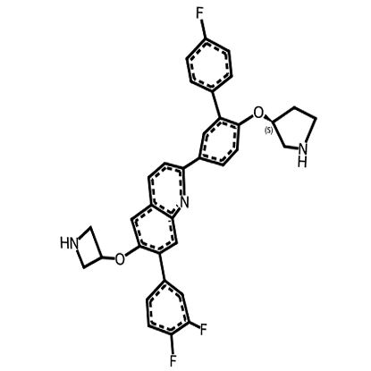 Fc1ccc(-c2cc(-c3ccc4cc(OC5CNC5)c(-c5ccc(F)c(F)c5)cc4n3)ccc2O[C@H]2CCNC2)cc1